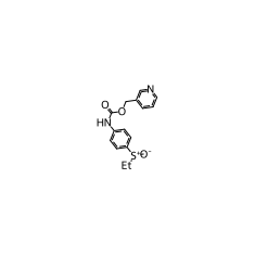 CC[S+]([O-])c1ccc(NC(=O)OCc2cccnc2)cc1